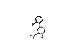 CC1CN(c2ccccc2F)C[CH]N1